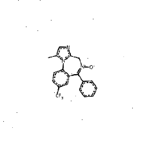 Cc1cnc2n1-c1ccc(C(F)(F)F)cc1C(c1ccccc1)=[N+]([O-])C2